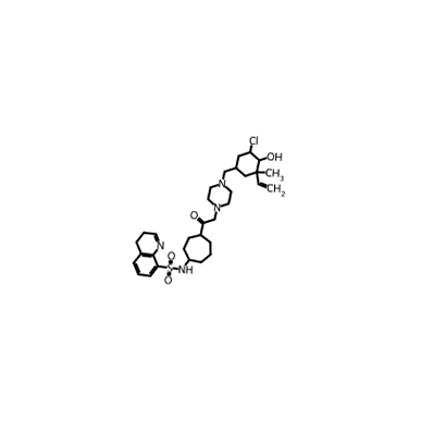 C=CC1(C)CC(CN2CCN(CC(=O)C3CCCC(NS(=O)(=O)c4cccc5c4N=CCC5)CC3)CC2)CC(Cl)C1O